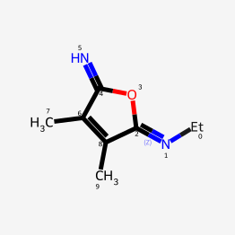 CC/N=C1\OC(=N)C(C)=C1C